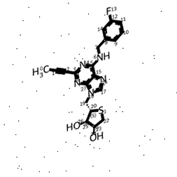 CC#Cc1nc(NCc2cccc(F)c2)c2ncn(C[C@@H]3SC[C@@H](O)[C@H]3O)c2n1